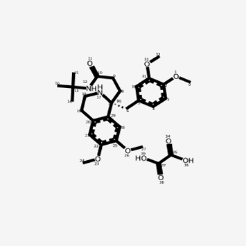 COc1ccc(C[C@@]2(CCC(=O)NC(C)(C)C)NCCc3cc(OC)c(OC)cc32)cc1OC.O=C(O)C(=O)O